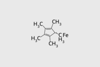 C[C]1C(C)=C(C)C(C)=C1C.[Fe]